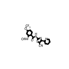 COc1cc(OC(F)(F)F)ccc1C(=O)Nc1nc(-c2ccccn2)c(C#N)s1